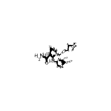 C[Si](C)(C)CCOCn1ncc(C(N)=O)c1Nc1cnccn1